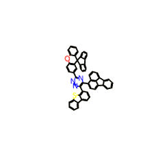 c1ccc2c(c1)Oc1ccc(-c3nnc(-c4cccc5c4sc4ccccc45)c(-c4ccc5c6c(cccc46)-c4ccccc4-5)n3)cc1C21c2ccccc2-c2ccccc21